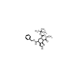 COC(=O)C1c2n[nH]cc2C(NOCc2ccccc2)CN1C(=O)OC(C)(C)C